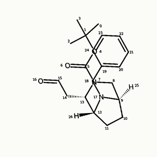 CC(C)(C)OC(=O)N1C[C@H]2CC[C@H]([C@@H]1CC=O)N2Cc1ccccc1